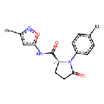 CCc1ccc(N2C(=O)CC[C@H]2C(=O)Nc2cc(C(C)(C)C)no2)cc1